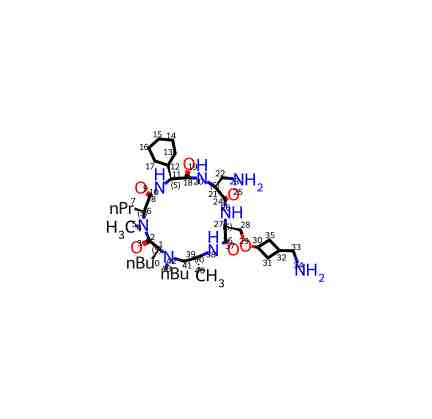 CCCC[C@H]1C(=O)N(C)[C@@H](CCC)C(=O)N[C@@H](C2CCCCC2)C(=O)N[C@@H](CN)C(=O)N[C@@H](COC2CC(CN)C2)C(=O)N[C@H](C)CN1CCCC